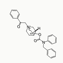 O=C(C[N+]12CCC(CC1)[C@@H](OC(=O)N(Cc1ccccc1)c1ccccc1)C2)c1ccccc1